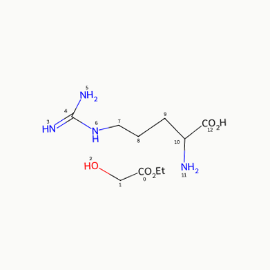 CCOC(=O)CO.N=C(N)NCCCC(N)C(=O)O